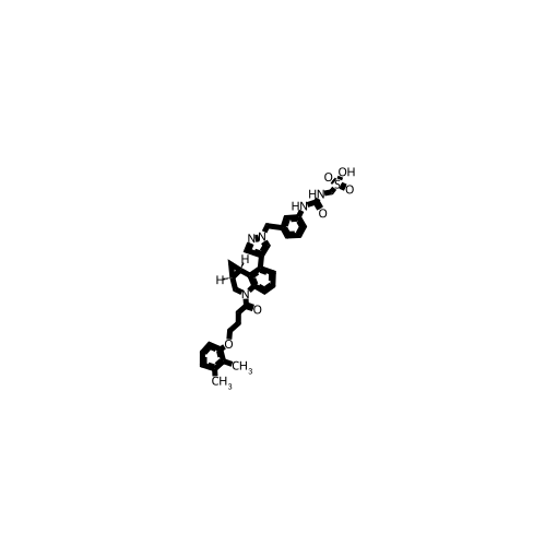 Cc1cccc(OCCCC(=O)N2C[C@H]3C[C@H]3c3c(-c4cnn(Cc5cccc(NC(=O)NCS(=O)(=O)O)c5)c4)cccc32)c1C